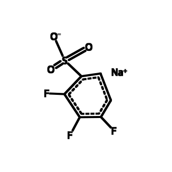 O=S(=O)([O-])c1ccc(F)c(F)c1F.[Na+]